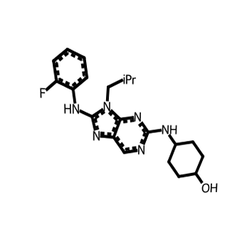 CC(C)Cn1c(Nc2ccccc2F)nc2cnc(NC3CCC(O)CC3)nc21